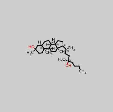 CCCC[C@](C)(O)CC[C@@H](C)[C@H]1CC[C@H]2[C@@H]3CC[C@H]4C[C@@](C)(O)CC[C@]4(C)[C@H]3CC[C@]12C